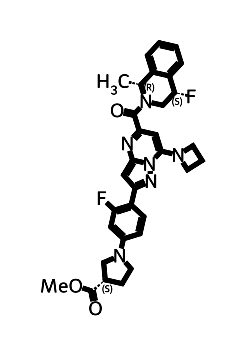 COC(=O)[C@H]1CCN(c2ccc(-c3cc4nc(C(=O)N5C[C@@H](F)c6ccccc6[C@H]5C)cc(N5CCC5)n4n3)c(F)c2)C1